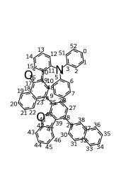 c1ccc(N(c2ccccc2)c2cccc3oc4c5ccccc5c(-c5ccc(-c6ccc7ccccc7c6)c6c5oc5ccccc56)cc4c23)cc1